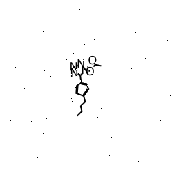 CCCCc1ccc(-c2nnnn2OC(C)=O)cc1